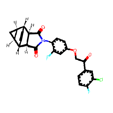 O=C(COc1ccc(N2C(=O)[C@@H]3[C@@H]4C=C[C@@H]([C@H]5C[C@@H]45)[C@@H]3C2=O)c(F)c1)c1ccc(F)c(Cl)c1